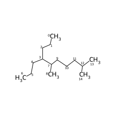 CCCC(CCC)C(C)CCCC(C)C